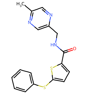 Cc1cnc(CNC(=O)c2ccc(Sc3ccccc3)s2)cn1